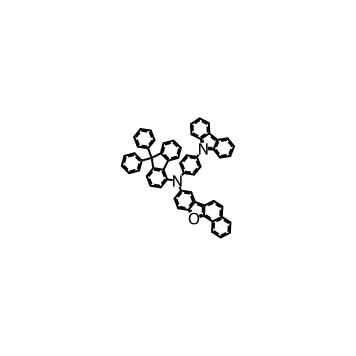 c1ccc(C2(c3ccccc3)c3ccccc3-c3c(N(c4ccc(-n5c6ccccc6c6ccccc65)cc4)c4ccc5oc6c7ccccc7ccc6c5c4)cccc32)cc1